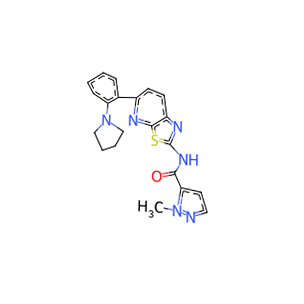 Cn1nccc1C(=O)Nc1nc2ccc(-c3ccccc3N3CCCC3)nc2s1